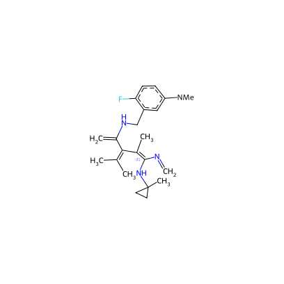 C=N/C(NC1(C)CC1)=C(\C)C(C(=C)NCc1cc(NC)ccc1F)=C(C)C